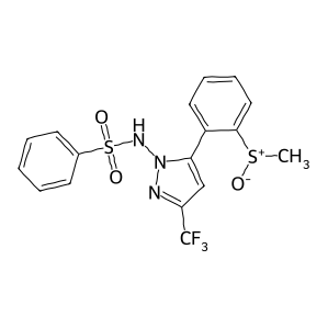 C[S+]([O-])c1ccccc1-c1cc(C(F)(F)F)nn1NS(=O)(=O)c1ccccc1